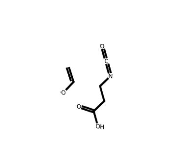 C=C[O].O=C=NCCC(=O)O